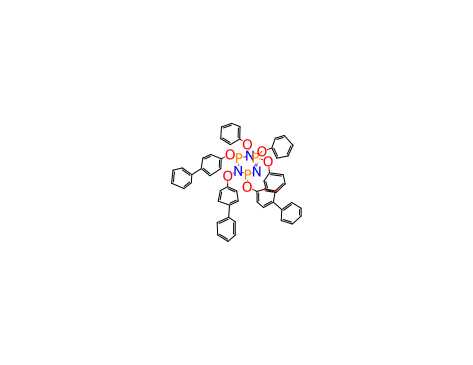 c1ccc(ON2P(Oc3ccc(-c4ccccc4)cc3)N(Oc3ccc(-c4ccccc4)cc3)P(Oc3ccc(-c4ccccc4)cc3)N=P2(Oc2ccccc2)Oc2ccccc2)cc1